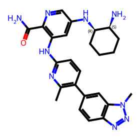 Cc1nc(Nc2cc(N[C@@H]3CCCC[C@@H]3N)cnc2C(N)=O)ccc1-c1ccc2nnn(C)c2c1